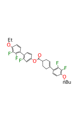 CCCCOc1ccc(C2=CCC(C(=O)Oc3ccc(-c4ccc(OCC)c(F)c4F)c(F)c3)CC2)c(F)c1F